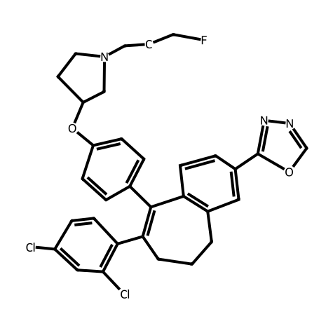 FCCCN1CCC(Oc2ccc(C3=C(c4ccc(Cl)cc4Cl)CCCc4cc(-c5nnco5)ccc43)cc2)C1